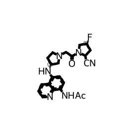 CC(=O)Nc1ccc(N[C@H]2CCN(CC(=O)N3C[C@@H](F)CC3C#N)C2)c2cccnc12